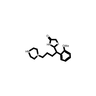 COc1ccccc1C(CCCN1CCNCC1)C1NC(=O)CS1